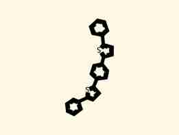 c1ccc(-c2ccc(-c3ccc(-c4ccc(-c5ccccc5)s4)cc3)s2)cc1